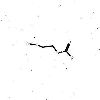 CC(C)CCCOC([O])=O